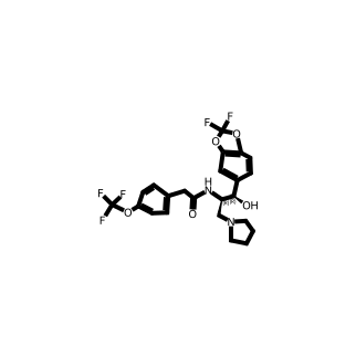 O=C(Cc1ccc(OC(F)(F)F)cc1)N[C@H](CN1CCCC1)[C@H](O)c1ccc2c(c1)OC(F)(F)O2